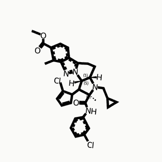 COC(=O)c1ccc2c3n(nc2c1C)[C@H]1C(C2C=CC=C2Cl)[C@](C)(C(=O)Nc2cccc(Cl)c2)N(CC2CC2)[C@H]1CC3